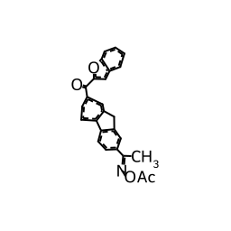 CC(=O)O/N=C(\C)c1ccc2c(c1)Cc1cc(C(=O)c3cc4ccccc4o3)ccc1-2